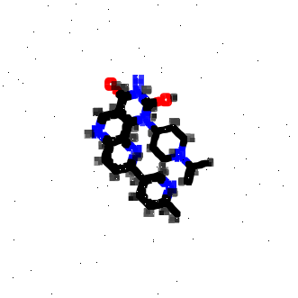 C=C(C)N1CCC(n2c(=O)[nH]c(=O)c3cnc4ccc(-c5ccc(C)nc5)nc4c32)CC1